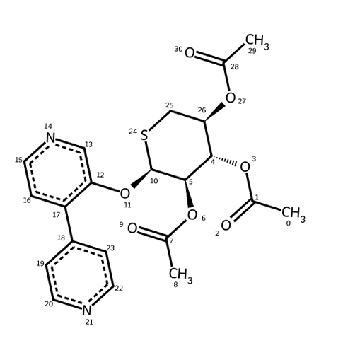 CC(=O)O[C@@H]1[C@@H](OC(C)=O)[C@@H](Oc2cnccc2-c2ccncc2)SC[C@H]1OC(C)=O